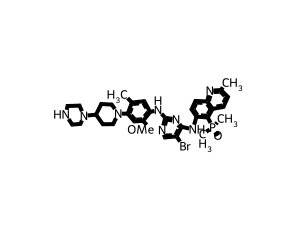 COc1cc(N2CCC(N3CCNCC3)CC2)c(C)cc1Nc1ncc(Br)c(Nc2ccc3nc(C)ccc3c2P(C)(C)=O)n1